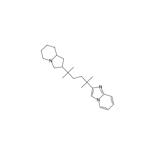 CC(C)(CCC(C)(C)C1CC2CCCCN2C1)c1cn2ccccc2n1